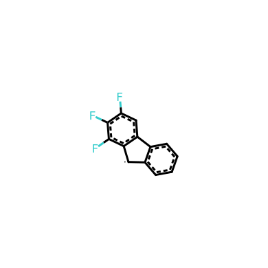 Fc1cc2c(c(F)c1F)[CH]c1ccccc1-2